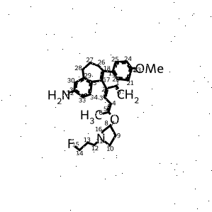 C=C/C(=C\C=C(/C)O[C@H]1CCN(CCCF)C1)C1=C(c2ccc(OC)cc2)CCCc2cc(N)ccc21